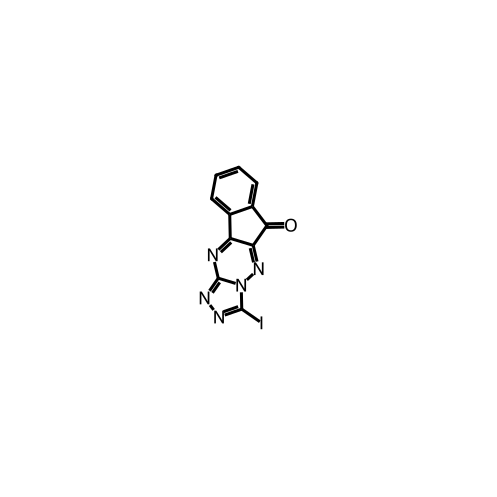 O=C1c2ccccc2-c2nc3nnc(I)n3nc21